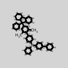 Cc1cc(C2(c3ccccc3)C3=C(C=CCC3)c3ccccc32)cc(C)c1-c1ccc(N(c2ccccc2)c2ccc(-c3ccccc3)cc2)cc1